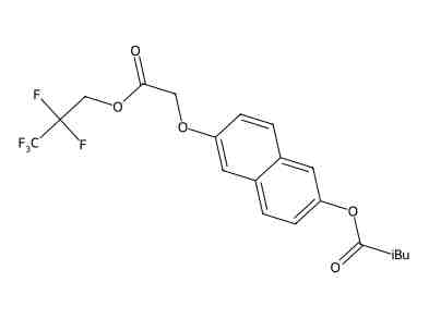 CCC(C)C(=O)Oc1ccc2cc(OCC(=O)OCC(F)(F)C(F)(F)F)ccc2c1